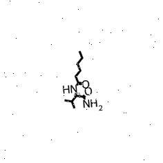 CCCCCC(=O)N[C@H](C(N)=O)C(C)C